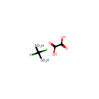 O=C(O)C(=O)O.O=S(=O)(O)C(F)(F)S(=O)(=O)O